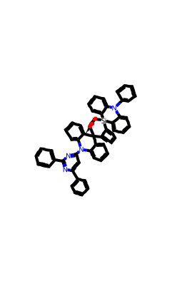 c1ccc(-c2cc(N3c4ccccc4C4(c5ccccc53)c3ccccc3[Si]3(c5ccccc5N(c5ccccc5)c5ccccc53)c3ccccc34)nc(-c3ccccc3)n2)cc1